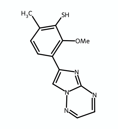 COc1c(-c2cn3nccnc3n2)ccc(C)c1S